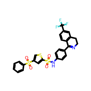 O=S(=O)(Nc1ccc(C2=NCCc3cc(C(F)(F)F)ccc32)cc1)c1cc(S(=O)(=O)c2ccccc2)cs1